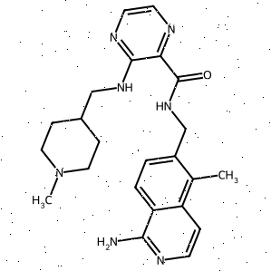 Cc1c(CNC(=O)c2nccnc2NCC2CCN(C)CC2)ccc2c(N)nccc12